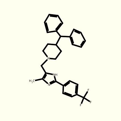 Cc1nc(-c2ccc(C(F)(F)F)cc2)[nH]c1CN1CCC(C(c2ccccc2)c2ccccc2)CC1